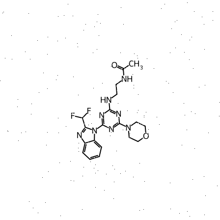 CC(=O)NCCNc1nc(N2CCOCC2)nc(-n2c(C(F)F)nc3ccccc32)n1